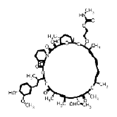 CNC(=O)OCCO[C@@H]1C[C@@H]2CC[C@@H](C)[C@@](O)(O2)C(=O)C(=O)N2CCCC[C@H]2C(=O)O[C@H]([C@H](C)C[C@@H]2CC[C@@H](O)[C@H](OC)C2)CC(=O)[C@H](C)/C=C(\C)[C@@H](O)[C@@H](OC)C(=O)[C@H](C)C[C@H](C)/C=C/C=C/C=C/1C